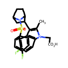 Cc1c(C2CC3CCC2N3S(=O)(=O)c2ccc(F)cc2)c2cc(F)ccc2n1CC(=O)O